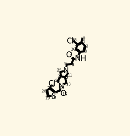 Cc1ccc(NC(=O)CCN2CC3CN(C(=O)c4sccc4Cl)CC3C2)cc1Cl